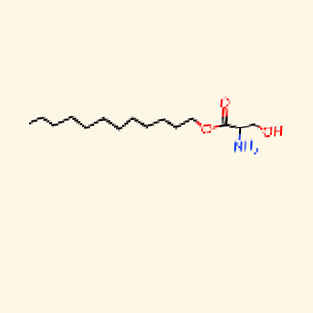 CCCCCCCCCCCCOC(=O)C(N)CO